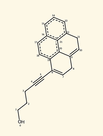 OCCCC#CC1=CCC2=CCc3cccc4ccc1c2c34